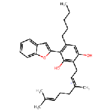 CCCCCc1cc(O)c(C/C=C(\C)CCC=C(C)C)c(O)c1-c1cc2ccccc2o1